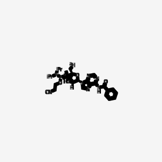 [2H]C[C@]12O[C@@H](n3cnc4c(NC(=O)c5ccccc5)ncnc43)[C@H](OC1(C)C)[C@@H]2OP(OCC[N+]#[C-])N(C(C)C)C(C)C